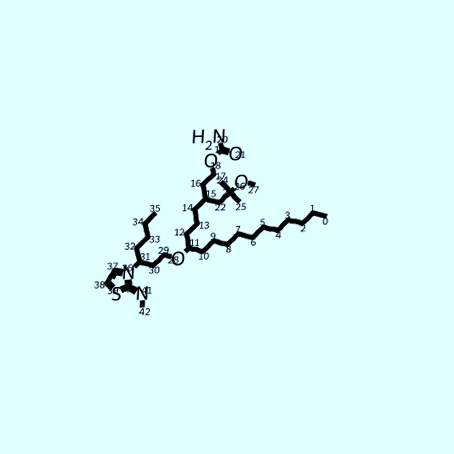 CCCCCCCCCCCC(CCCC(CCOC(N)=O)CC(C)(C)OC)OCCC(CCCC)n1ccsc1=NC